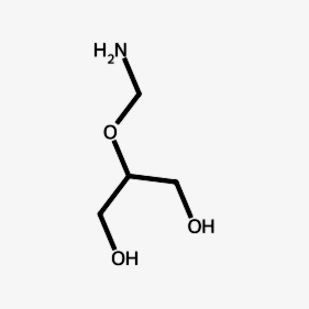 NCOC(CO)CO